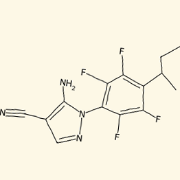 CCC(C)c1c(F)c(F)c(-n2ncc(C#N)c2N)c(F)c1F